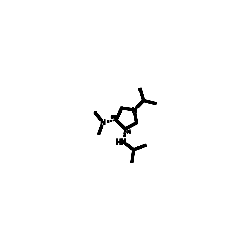 CC(C)N[C@H]1CN(C(C)C)C[C@H]1N(C)C